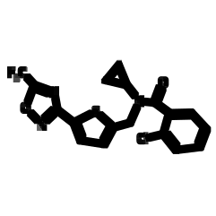 O=C(c1ccccc1Cl)N(Cc1ccc(-c2noc(C(F)(F)F)n2)s1)C1CC1